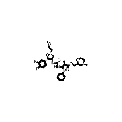 COCCN1C[C@@H](NC(=O)Nc2c(C)c(OCC3CN(C)CCO3)nn2-c2ccccc2)[C@H](c2ccc(F)c(F)c2)O1